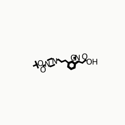 CC(C)(C)OC(=O)N1CCN(CCCc2cccc3c(CC(=O)O)noc23)CC1